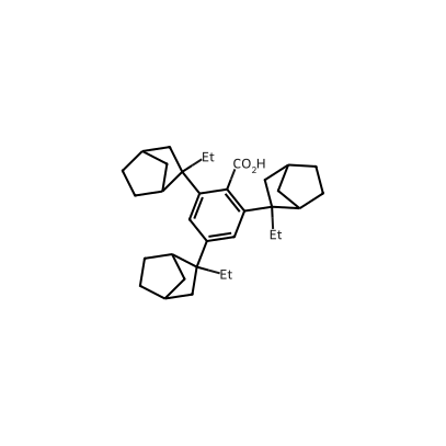 CCC1(c2cc(C3(CC)CC4CCC3C4)c(C(=O)O)c(C3(CC)CC4CCC3C4)c2)CC2CCC1C2